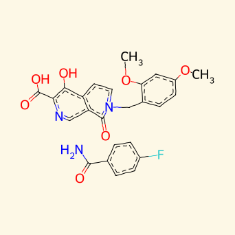 COc1ccc(Cn2ccc3c(O)c(C(=O)O)ncc3c2=O)c(OC)c1.NC(=O)c1ccc(F)cc1